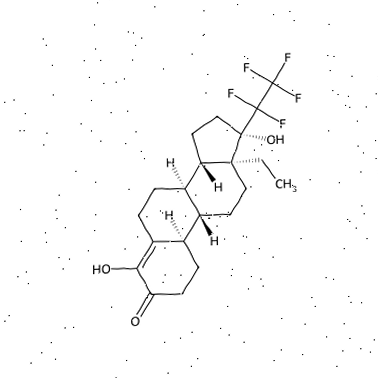 CC[C@]12CC[C@H]3[C@@H](CCC4=C(O)C(=O)CC[C@@H]43)[C@@H]1CC[C@@]2(O)C(F)(F)C(F)(F)F